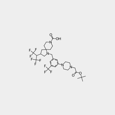 CC(C)(C)OC(=O)CN1CCN(c2cc(CN3CC(C(C(F)(F)F)C(F)(F)F)CC34CCN(C(=O)O)CC4)cc(C(F)(F)F)c2)CC1